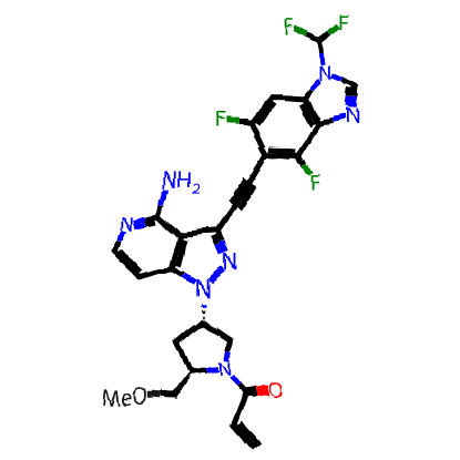 C=CC(=O)N1C[C@@H](n2nc(C#Cc3c(F)cc4c(ncn4C(F)F)c3F)c3c(N)nccc32)C[C@@H]1COC